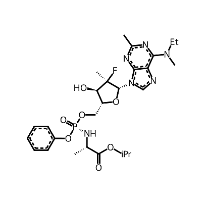 CCN(C)c1nc(C)nc2c1ncn2[C@@H]1O[C@H](CO[P@@](=O)(N[C@@H](C)C(=O)OC(C)C)Oc2ccccc2)[C@@H](O)[C@@]1(C)F